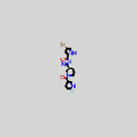 O=C(c1ccc(F)nc1)N1CCCC(c2noc(-c3cc(Br)c[nH]3)n2)C1